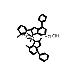 CC1=Cc2c(-c3ccccc3)ccc(C)c2[CH]1[Zr]([CH3])([CH3])(=[SiH2])[CH]1C(c2cccc(C)c2)=Cc2c(-c3ccccc3)cccc21.Cl.Cl